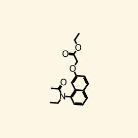 CCOC(=O)COc1ccc2cccc(N(CC)C(C)=O)c2c1